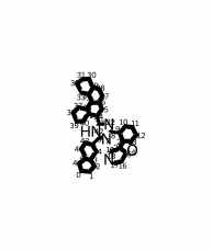 c1ccc2cc(C3=NC(c4cccc5oc6ccncc6c45)=NC(c4cc5ccc6ccccc6c5c5ccccc45)N3)ccc2c1